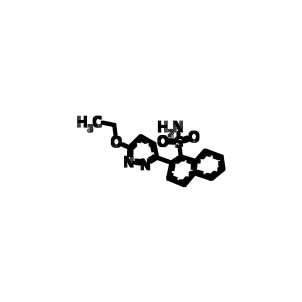 CCOc1ccc(-c2ccc3ccccc3c2S(N)(=O)=O)nn1